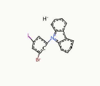 Brc1cc(I)cc(-n2c3ccccc3c3ccccc32)c1.[H+]